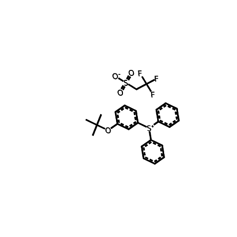 CC(C)(C)Oc1cccc([S+](c2ccccc2)c2ccccc2)c1.O=S(=O)([O-])CC(F)(F)F